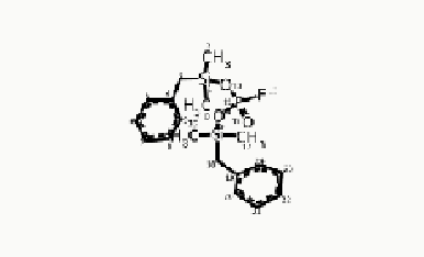 C[Si](C)(Cc1ccccc1)OP(=O)(F)O[Si](C)(C)Cc1ccccc1